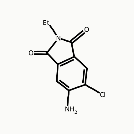 CCN1C(=O)c2cc(N)c(Cl)cc2C1=O